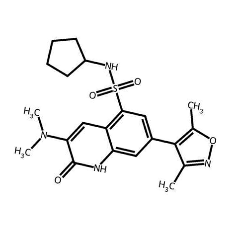 Cc1noc(C)c1-c1cc(S(=O)(=O)NC2CCCC2)c2cc(N(C)C)c(=O)[nH]c2c1